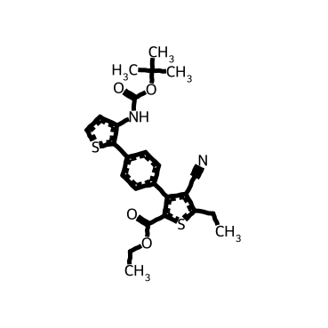 CCOC(=O)c1sc(CC)c(C#N)c1-c1ccc(-c2sccc2NC(=O)OC(C)(C)C)cc1